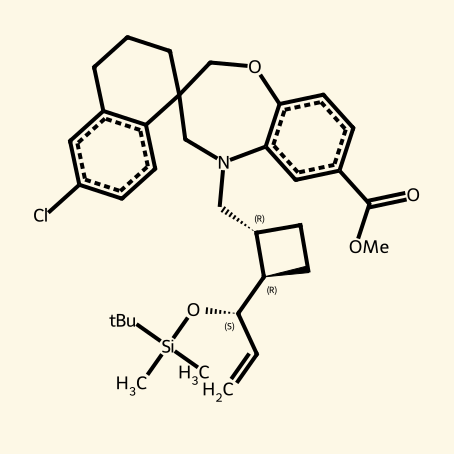 C=C[C@H](O[Si](C)(C)C(C)(C)C)[C@@H]1CC[C@H]1CN1CC2(CCCc3cc(Cl)ccc32)COc2ccc(C(=O)OC)cc21